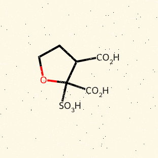 O=C(O)C1CCOC1(C(=O)O)S(=O)(=O)O